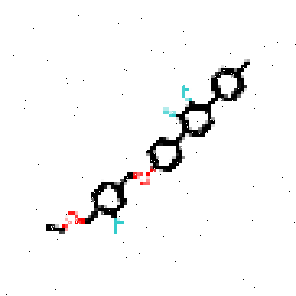 CCOCc1ccc(COc2ccc(-c3ccc(-c4ccc(C)cc4)c(F)c3F)cc2)cc1F